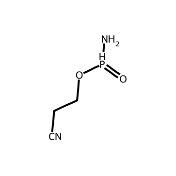 N#CCCO[PH](N)=O